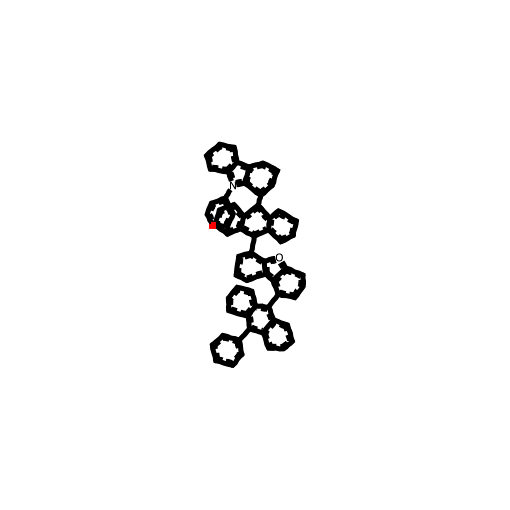 c1ccc(-c2c3ccccc3c(-c3cccc4oc5c(-c6c7ccccc7c(-c7cccc8c9ccccc9n(-c9ccccc9)c78)c7ccccc67)cccc5c34)c3ccccc23)cc1